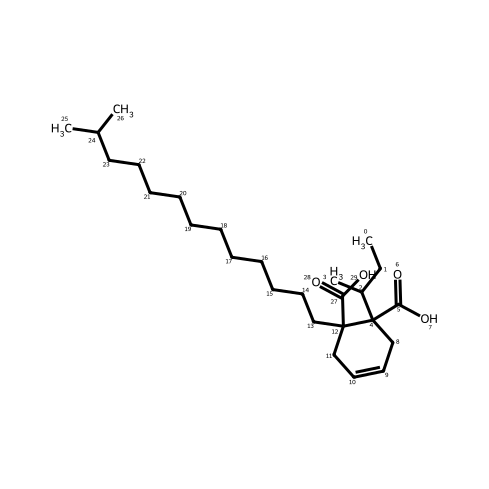 CCC(C)C1(C(=O)O)CC=CCC1(CCCCCCCCCCCC(C)C)C(=O)O